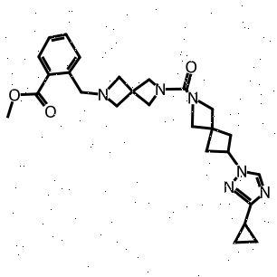 COC(=O)c1ccccc1CN1CC2(C1)CN(C(=O)N1CC3(CC(n4cnc(C5CC5)n4)C3)C1)C2